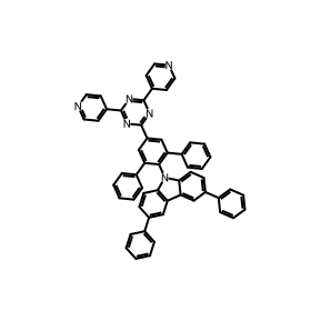 c1ccc(-c2ccc3c(c2)c2cc(-c4ccccc4)ccc2n3-c2c(-c3ccccc3)cc(-c3nc(-c4ccncc4)nc(-c4ccncc4)n3)cc2-c2ccccc2)cc1